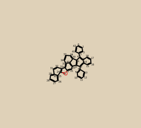 c1ccc(-c2c3c(c(-c4ccccc4)c4ccccc24)-c2cc4oc5c6ccccc6ccc5c4c4cccc-3c24)cc1